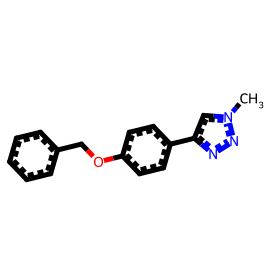 Cn1cc(-c2ccc(OCc3ccccc3)cc2)nn1